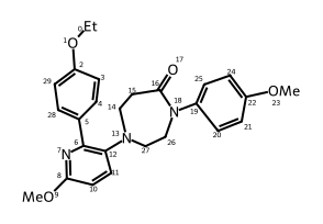 CCOc1ccc(-c2nc(OC)ccc2N2CCC(=O)N(c3ccc(OC)cc3)CC2)cc1